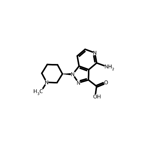 CN1CCC[C@@H](n2nc(C(=O)O)c3c(N)nccc32)C1